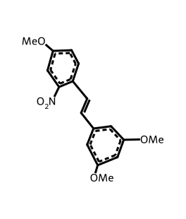 COc1cc(C=Cc2ccc(OC)cc2[N+](=O)[O-])cc(OC)c1